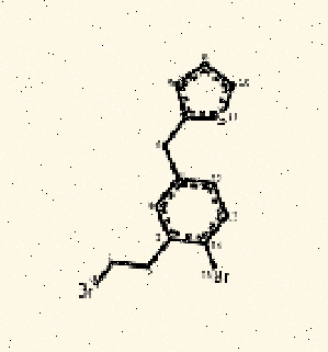 BrCCc1cc(Cc2cccs2)ccc1Br